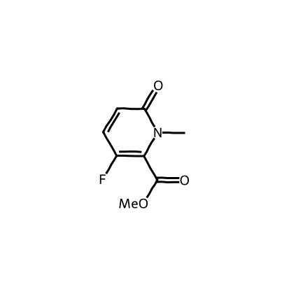 COC(=O)c1c(F)ccc(=O)n1C